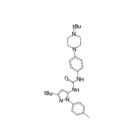 Cc1ccc(-n2nc(C(C)(C)C)cc2NC(=O)Nc2ccc(N3CCN(C(C)(C)C)CC3)cc2)cc1